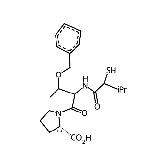 CC(C)C(S)C(=O)NC(C(=O)N1CCC[C@H]1C(=O)O)C(C)OCc1ccccc1